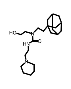 O=C(NCCN1CCCCC1)N(CCO)CCC12CC3CC(CC(C3)C1)C2